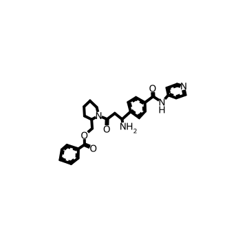 NC(CC(=O)N1CCCCC1COC(=O)c1ccccc1)c1ccc(C(=O)Nc2ccncc2)cc1